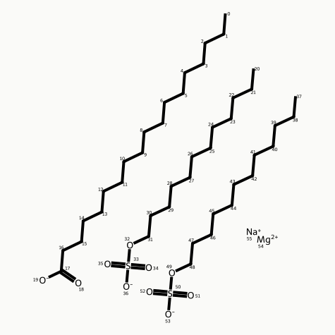 CCCCCCCCCCCCCCCCCC(=O)[O-].CCCCCCCCCCCCOS(=O)(=O)[O-].CCCCCCCCCCCCOS(=O)(=O)[O-].[Mg+2].[Na+]